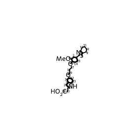 COc1cc(-c2nc3c(s2)CCCC3)ccc1OCCCOc1ccc2[nH]c(CC(=O)O)cc2c1